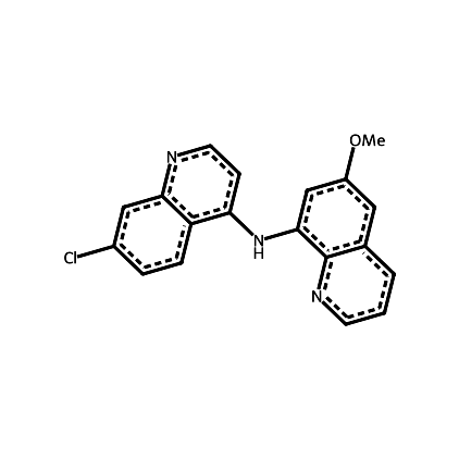 COc1cc(Nc2ccnc3cc(Cl)ccc23)c2ncccc2c1